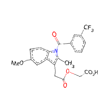 COc1ccc2c(c1)c(CC(=O)OCC(=O)O)c(C)n2C(=O)c1cccc(C(F)(F)F)c1